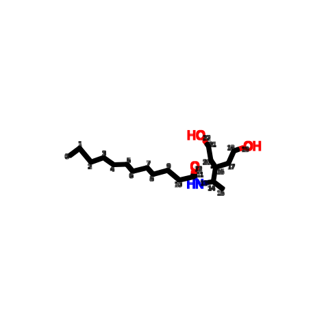 CCCCCCCCCCCC(=O)NC(C)[C](CCO)CCO